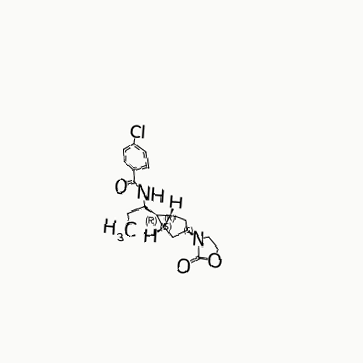 CCC(NC(=O)c1ccc(Cl)cc1)[C@H]1[C@@H]2C[C@@H](N3CCOC3=O)C[C@@H]21